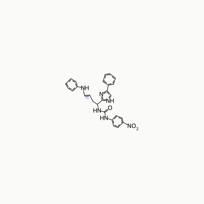 O=C(Nc1ccc([N+](=O)[O-])cc1)NC(C/C=C/Nc1ccccc1)c1nc(-c2ccccc2)c[nH]1